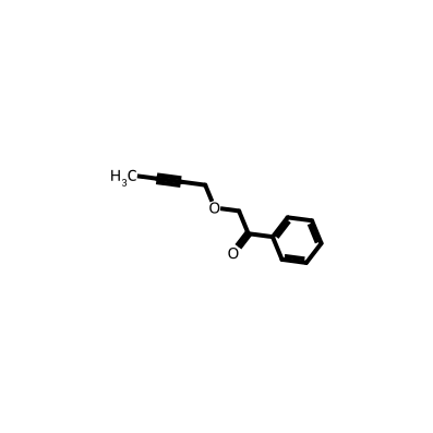 CC#CCOCC(=O)c1ccccc1